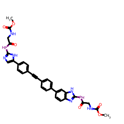 COC(=O)NCC(=O)Pc1ncc(-c2ccc(C#Cc3ccc(-c4ccc5nc(PC(=O)CNC(=O)OC)[nH]c5c4)cc3)cc2)[nH]1